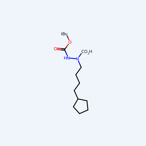 CC(C)(C)OC(=O)NN(CCCCC1CCCC1)C(=O)O